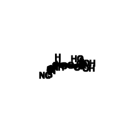 C=C(NCCOCCOCCO[C@H]1C[C@@H](O)C(O)C(CO)O1)Nc1cccc(SC#N)n1